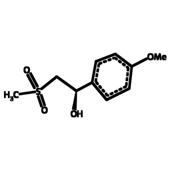 COc1ccc([C@@H](O)CS(C)(=O)=O)cc1